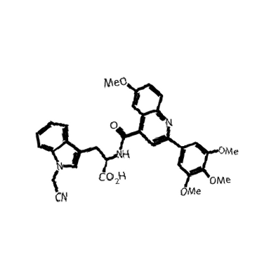 COc1ccc2nc(-c3cc(OC)c(OC)c(OC)c3)cc(C(=O)N[C@H](Cc3cn(CC#N)c4ccccc34)C(=O)O)c2c1